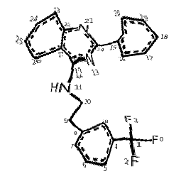 FC(F)(F)c1cccc(CCNc2nc(-c3ccccc3)nc3ccccc23)c1